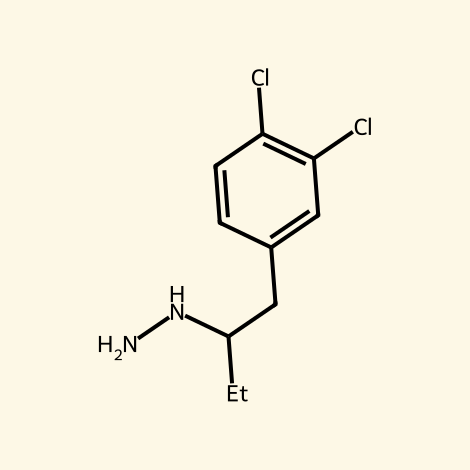 CCC(Cc1ccc(Cl)c(Cl)c1)NN